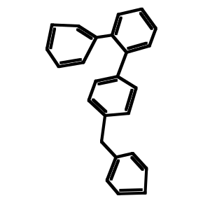 c1ccc(Cc2ccc(-c3ccccc3-c3ccccc3)cc2)cc1